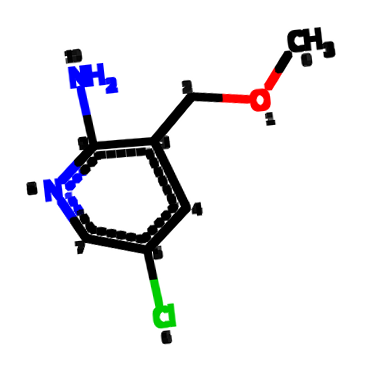 COCc1cc(Cl)cnc1N